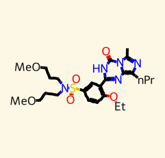 CCCc1nc(C)n2c(=O)[nH]c(-c3cc(S(=O)(=O)N(CCCOC)CCCOC)ccc3OCC)nc12